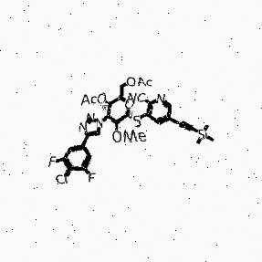 COC1C(n2cc(-c3cc(F)c(Cl)c(F)c3)nn2)[C@@H](OC(C)=O)C(COC(C)=O)O[C@@H]1Sc1cc(C#C[Si](C)(C)C)cnc1C#N